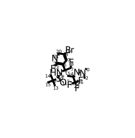 CN(C)N=C(C[C@](CF)(N[S@+]([O-])C(C)(C)C)c1cc(Br)cnc1F)C(F)(F)F